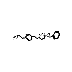 OCCc1ccc(CCc2ccc(OCc3ccccc3)nn2)cc1